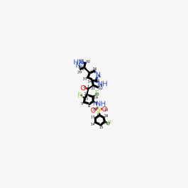 O=C(c1c(F)ccc(NS(=O)(=O)c2cccc(F)c2)c1F)c1c[nH]c2ncc(-c3cn[nH]c3)cc12